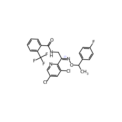 CC(O/N=C(/CNC(=O)c1ccccc1C(F)(F)F)c1ncc(Cl)cc1Cl)c1ccc(F)cc1